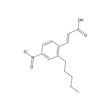 CCCCCc1cc([N+](=O)[O-])ccc1C=CC(=O)O